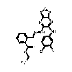 CCOC(=O)c1ccccc1/C=N/Nc1nc2nonc2nc1Nc1ccc(Cl)c(Cl)c1